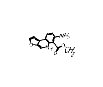 COC(=O)c1c(N)ccc2c1NC=C1OCC=C12